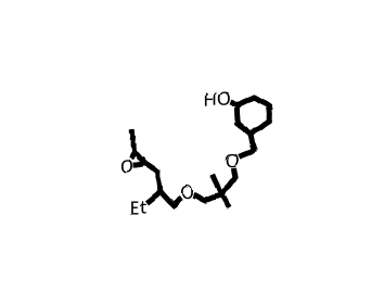 CCC(COCC(C)(C)COCC1CCCC(O)C1)CC1OC1C